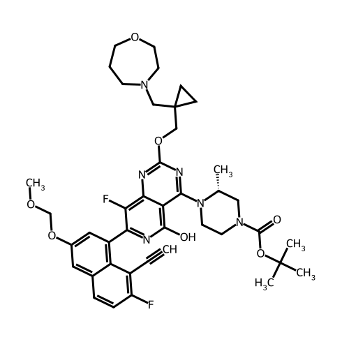 C#Cc1c(F)ccc2cc(OCOC)cc(-c3nc(O)c4c(N5CCN(C(=O)OC(C)(C)C)C[C@H]5C)nc(OCC5(CN6CCCOCC6)CC5)nc4c3F)c12